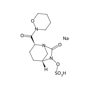 O=C([C@@H]1CC[C@@H]2CN1C(=O)N2OS(=O)(=O)O)N1CCCCO1.[Na]